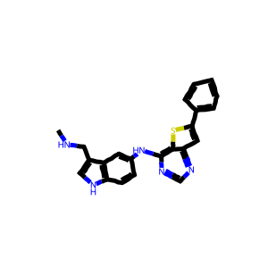 CNCc1c[nH]c2ccc(Nc3ncnc4cc(-c5ccccc5)sc34)cc12